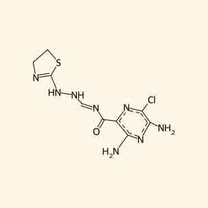 Nc1nc(N)c(C(=O)N=CNNC2=NCCS2)nc1Cl